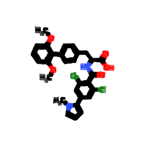 COc1cccc(OC)c1-c1ccc(C[C@H](NC(=O)c2c(Cl)cc(-c3cccn3C)cc2Cl)C(=O)O)cc1